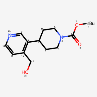 CCCCOC(=O)N1CCC(c2cnccc2CO)CC1